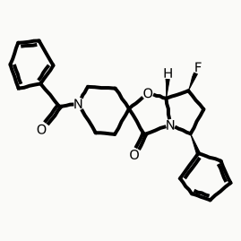 O=C(c1ccccc1)N1CCC2(CC1)O[C@@H]1[C@@H](F)C[C@@H](c3ccccc3)N1C2=O